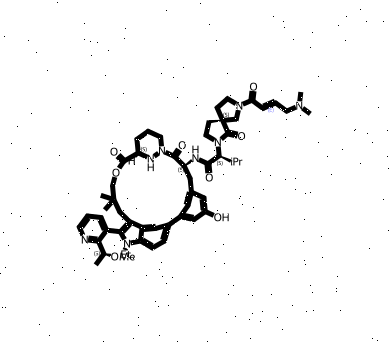 CCn1c(-c2cccnc2[C@H](C)OC)c2c3cc(ccc31)-c1cc(O)cc(c1)C[C@H](NC(=O)[C@H](C(C)C)N1CC[C@]3(CCN(C(=O)/C=C/CN(C)C)C3)C1=O)C(=O)N1CCC[C@H](N1)C(=O)OCC(C)(C)C2